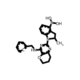 CC1Cc2c(B(O)O)cccc2N1c1nc2c(c(NCc3ccccc3)n1)OCCC2